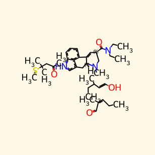 CCC(C)C=CO.CCC=C(C)C=O.CCN(CC)C(=O)[C@@H]1C=C2c3cccc4[nH]cc(c34)C[C@H]2N(C)C1.CSC(C)(C)CC(C)=O